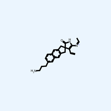 C=CC1=C(/N=C\C)NC(=O)C12Cc1cc3ccc(CCCN)cc3cc1C2